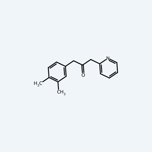 Cc1ccc(CC(=O)Cc2ccccn2)cc1C